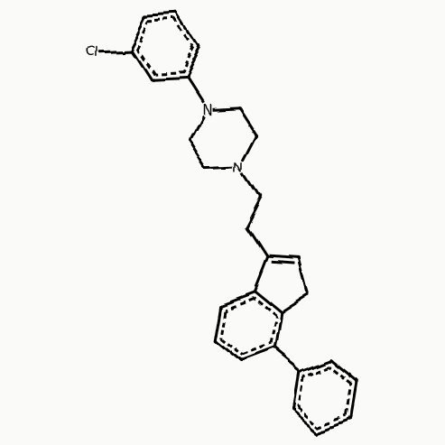 Clc1cccc(N2CCN(CCC3=CCc4c3cccc4-c3ccccc3)CC2)c1